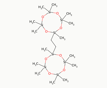 C[Si]1(C)O[Si](C)(C)O[Si](C)(CC[Si]2(C)O[Si](C)(C)O[Si](C)(C)O[Si](C)(C)O2)O[Si](C)(C)O1